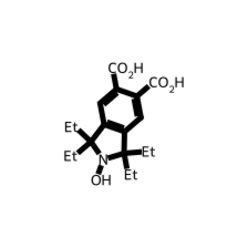 CCC1(CC)c2cc(C(=O)O)c(C(=O)O)cc2C(CC)(CC)N1O